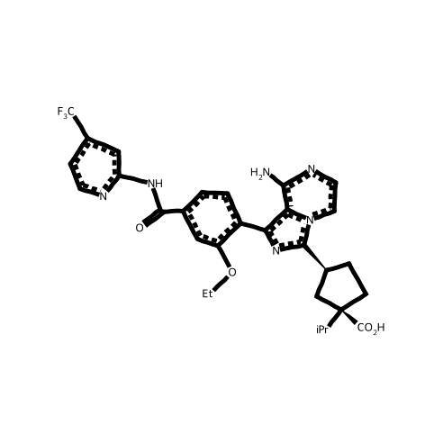 CCOc1cc(C(=O)Nc2cc(C(F)(F)F)ccn2)ccc1-c1nc([C@H]2CC[C@](C(=O)O)(C(C)C)C2)n2ccnc(N)c12